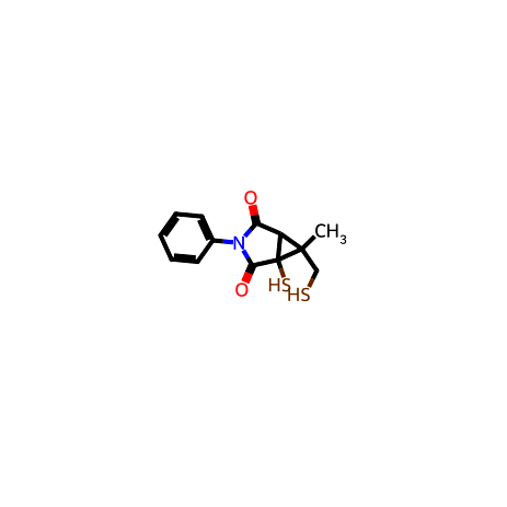 CC1(CS)C2C(=O)N(c3ccccc3)C(=O)C21S